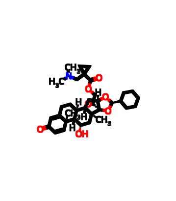 CN(C)CC1(C(=O)OCC(=O)[C@@]23O[C@H](C4CCCCC4)O[C@@H]2C[C@H]2[C@@H]4CCC5=CC(=O)C=C[C@]5(C)[C@H]4[C@@H](O)C[C@@]23C)CC1